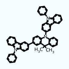 CC1(C)c2ccccc2N(c2ccc3c(c2)c2ccccc2n3-c2ccccc2)c2ccc(-c3ccc4c(c3)c3ccccc3n4-c3ccccc3)cc21